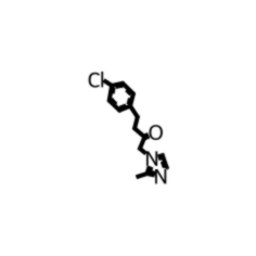 Cc1nccn1CC(=O)CCc1ccc(Cl)cc1